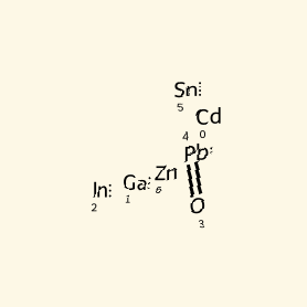 [Cd].[Ga].[In].[O]=[Pb].[Sn].[Zn]